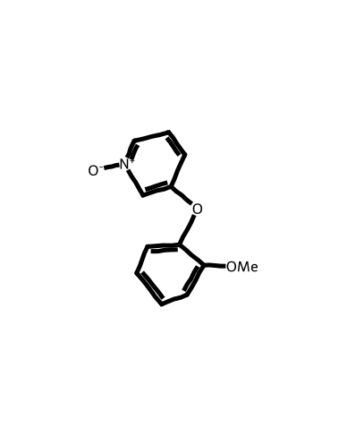 COc1ccccc1Oc1ccc[n+]([O-])c1